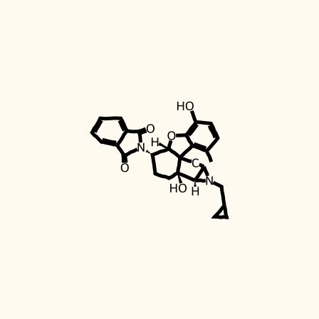 Cc1ccc(O)c2c1C13CC4[C@@H](N4CC4CC4)[C@]1(O)CC[C@H](N1C(=O)c4ccccc4C1=O)[C@@H]3O2